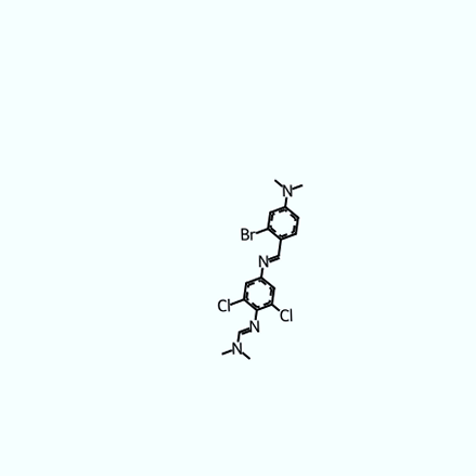 CN(C)C=Nc1c(Cl)cc(N=Cc2ccc(N(C)C)cc2Br)cc1Cl